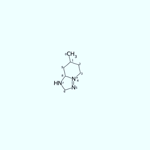 CC1CC[N+]2=NCNC2C1